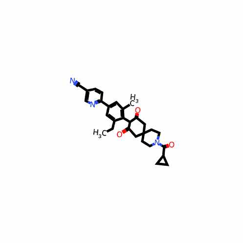 CCc1cc(-c2ccc(C#N)cn2)cc(C)c1C1C(=O)CC2(CCN(C(=O)C3CC3)CC2)CC1=O